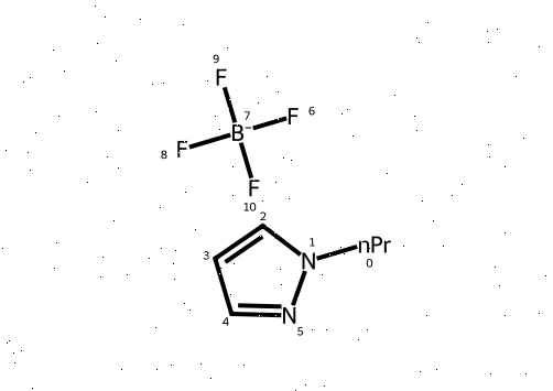 CCCn1cccn1.F[B-](F)(F)F